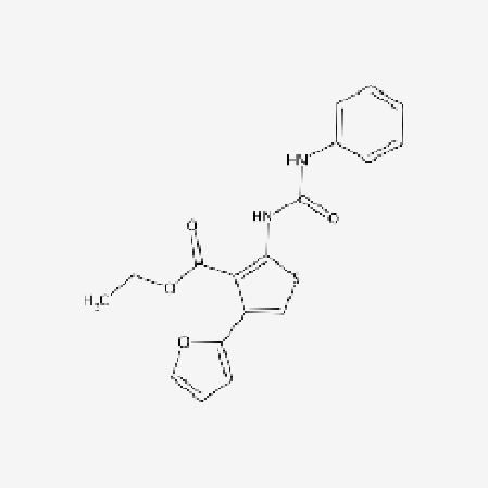 CCOC(=O)c1c(-c2ccco2)csc1NC(=O)Nc1ccccc1